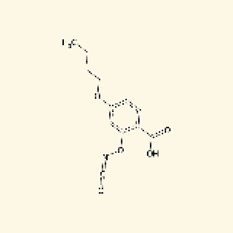 CCCCOc1ccc(C(=O)O)c(ON=C=O)c1